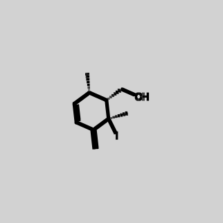 C=C1C=C[C@H](C)[C@H](CO)[C@@]1(C)I